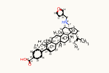 C=C(C)[C@@H]1CC[C@]2(CNCc3ccoc3)CC[C@]3(C)[C@H](CC[C@@H]4[C@@]5(C)CC=C(c6ccc(C(=O)O)cc6)C(C)(C)[C@@H]5CC[C@]43C)[C@@H]12